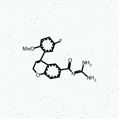 COc1ccc(F)cc1C1=CCOc2ccc(C(=O)N=C(N)N)cc21